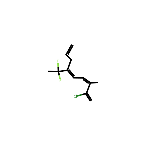 C=CC/C(=C\C=C(\C)C(=C)Cl)C(C)(F)F